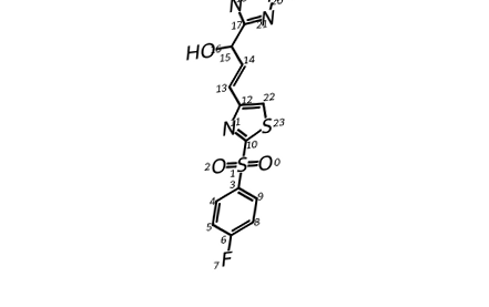 O=S(=O)(c1ccc(F)cc1)c1nc(C=CC(O)c2nn[nH]n2)cs1